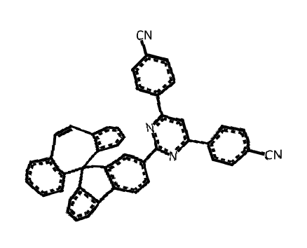 N#Cc1ccc(-c2cc(-c3ccc(C#N)cc3)nc(-c3ccc4c(c3)C3(c5ccccc5C=Cc5ccccc53)c3ccccc3-4)n2)cc1